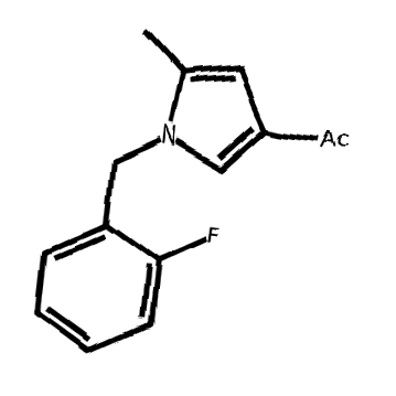 CC(=O)c1cc(C)n(Cc2ccccc2F)c1